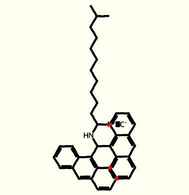 [C-]#[N+]C(CCCCCCCCCC(C)C)NC(c1c2ccccc2cc2ccccc12)c1c2ccccc2cc2ccccc12